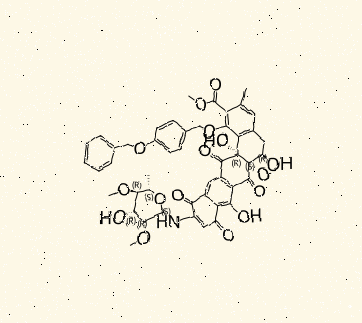 COC(=O)c1c(C)cc2c(c1OCc1ccc(OCc3ccccc3)cc1)[C@]1(O)C(=O)c3cc4c(c(O)c3C(=O)[C@]1(OC)[C@H](O)C2)C(=O)C=C(N[C@H]1O[C@@H](C)[C@H](OC)[C@@H](O)[C@H]1OC)C4=O